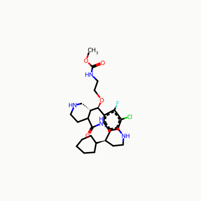 COC(=O)NCCO[C@@H](c1cccc(Cl)c1F)[C@H]1CNCCC1C(=O)N[C@@H]1CNCC[C@H]1C1CCCCC1